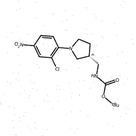 CC(C)(C)OC(=O)NC[C@H]1CCN(c2ccc([N+](=O)[O-])cc2Cl)C1